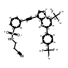 N#CCCNS(=O)(=O)c1cccc(C#Cc2cnn3c(C(F)(F)F)cc(-c4ccc(C(F)(F)F)cc4)nc23)c1